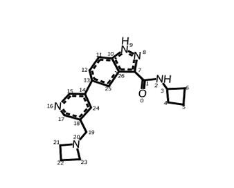 O=C(NC1CCC1)c1n[nH]c2ccc(-c3cncc(CN4CCC4)c3)cc12